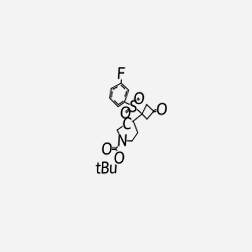 CC(C)(C)OC(=O)N1CCC(C2(S(=O)(=O)c3cccc(F)c3)CC(=O)C2)CC1